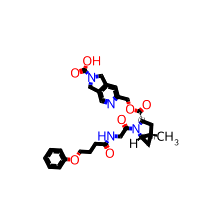 C[C@@]12C[C@@H]1N(C(=O)CNC(=O)CCCOc1ccccc1)[C@H](C(=O)OCc1cc3c(cn1)CN(C(=O)O)C3)C2